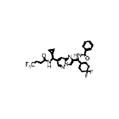 O=C(CCC(F)(F)F)NC(c1cnn2cc([C@@H](NC(=O)c3ccccc3)C3CCC(F)(F)CC3)nc2c1)C1CC1